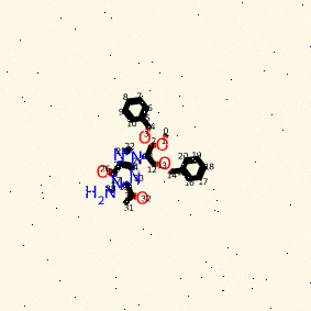 COC(OCc1ccccc1)C(COCc1ccccc1)n1cnc2c(=O)n(N)c(C(C)=O)nc21